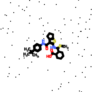 C=S=C(Nc1sc2c(c1C(=O)Nc1ccc(C(C)(C)C)cc1)CCC2)C1CCCCC1C(=O)O